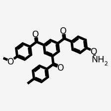 COc1ccc(C(=O)c2cc(C(=O)c3ccc(C)cc3)cc(C(=O)c3ccc(ON)cc3)c2)cc1